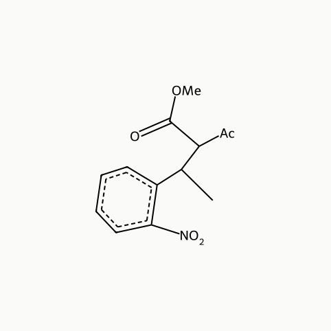 COC(=O)C(C(C)=O)C(C)c1ccccc1[N+](=O)[O-]